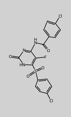 O=C(Nc1nc(=O)[nH]c(S(=O)(=O)c2ccc(Cl)cc2)c1F)c1ccc(Cl)cc1